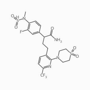 CN(c1ccc(C(CCc2ccc(C(F)(F)F)nc2N2CCS(=O)(=O)CC2)C(N)=O)cc1F)[SH](=O)=O